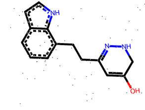 OC1=CC(CCc2cccc3cc[nH]c23)=NNC1